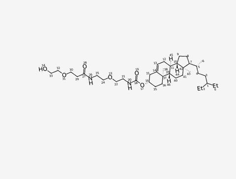 CCC(CC)CC[C@@H](C)C1CC[C@H]2[C@@H]3CC=C4C[C@@H](OC(=O)NCCOCCNC(=O)CCOCCO)CC[C@]4(C)[C@H]3CC[C@]12C